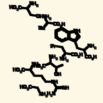 CC(C)CC(N)C(=O)O.CC(O)C(N)C(=O)O.CCC(C)C(N)C(=O)O.N=C(N)NCCCC(N)C(=O)O.NC(CO)C(=O)O.NC(Cc1c[nH]c2ccccc12)C(=O)O.NCC(=O)O